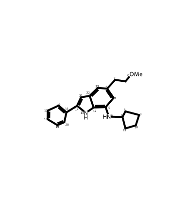 COCCc1cc(NC2CCCC2)c2[nH]c(-c3ccccc3)cc2c1